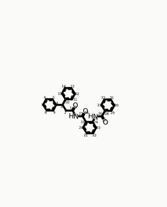 O=C(CC(c1ccccc1)c1ccccc1)NC(=O)c1ccccc1NC(=O)c1ccccc1